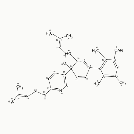 COc1cc(C)c(C)c(C2=CC(O)C(OCC=C(C)C)(c3ccc(NCC=C(C)C)nc3)C=C2)c1C